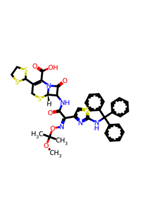 COC(C)(C)O/N=C(\C(=O)NC1C(=O)N2C(C(=O)O)=C(C3SCCS3)CS[C@@H]12)c1csc(NC(c2ccccc2)(c2ccccc2)c2ccccc2)n1